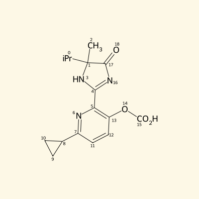 CC(C)C1(C)NC(c2nc(C3CC3)ccc2OC(=O)O)=NC1=O